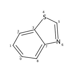 [c]1c[c]c2scnc2c1